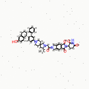 C[C@H]1CC2(CCN(c3ccc([C@@H]4c5ccc(O)cc5CC[C@@H]4c4ccccc4)cc3)CC2)CN1CC(=O)N1Cc2cc3c(cc2C1)C(=O)N([C@@H]1CCC(=O)NC1=O)C3=O